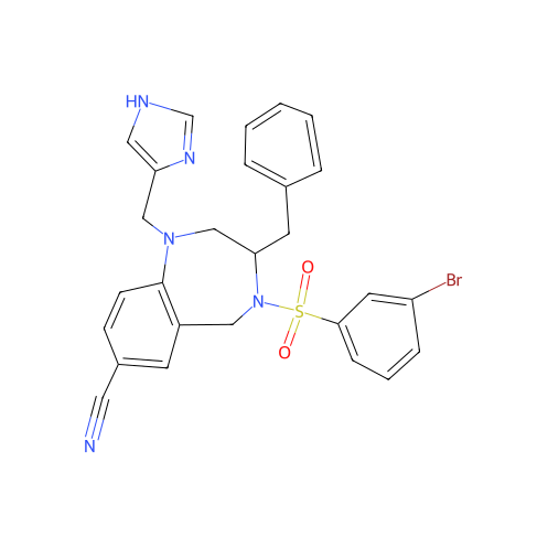 N#Cc1ccc2c(c1)CN(S(=O)(=O)c1cccc(Br)c1)C(Cc1ccccc1)CN2Cc1c[nH]cn1